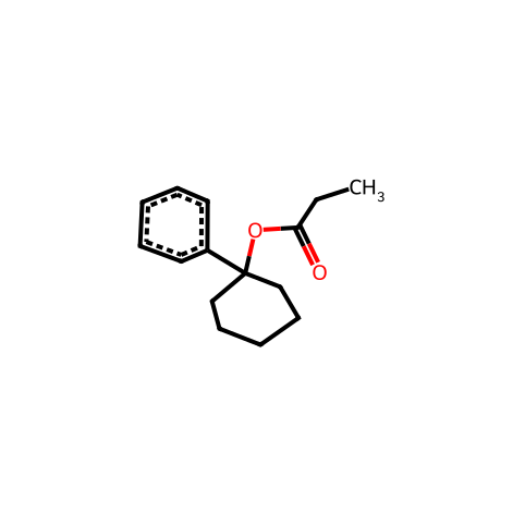 CCC(=O)OC1(c2ccccc2)CCCCC1